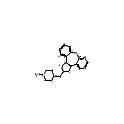 CN1CCN(CC2CC3c4ccccc4Sc4ccccc4C3O2)CC1